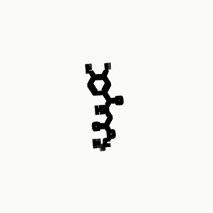 COC(=O)CNC(=O)c1ccc(F)c(F)c1